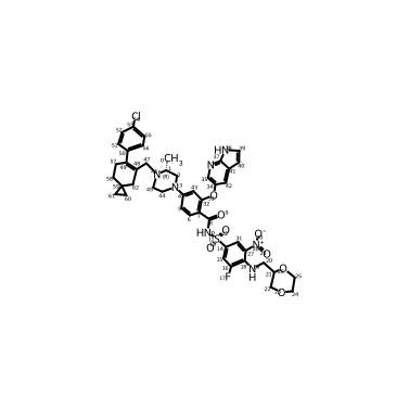 C[C@@H]1CN(c2ccc(C(=O)NS(=O)(=O)c3cc(F)c(NCC4COCCO4)c([N+](=O)[O-])c3)c(Oc3cnc4[nH]ccc4c3)c2)CCN1CC1=C(c2ccc(Cl)cc2)CCC2(CC2)C1